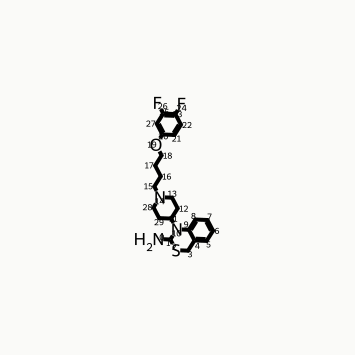 NC1SCc2ccccc2N1C1CCN(CCCCOc2ccc(F)c(F)c2)CC1